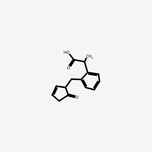 CC(C(=O)O)c1ccccc1CC1C=CCC1=O